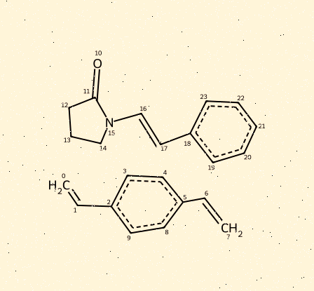 C=Cc1ccc(C=C)cc1.O=C1CCCN1C=Cc1ccccc1